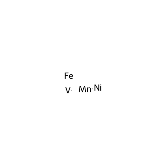 [Fe].[Mn].[Ni].[V]